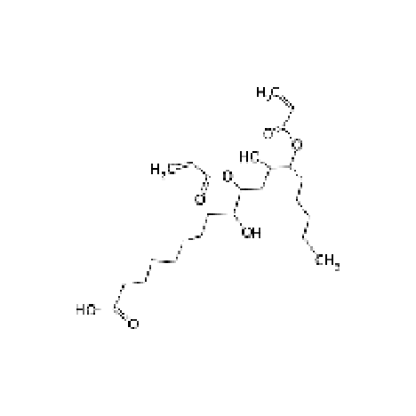 C=CC(=O)OC(CCCCC)C(O)CC(OC(=O)C=C)C(O)CCCCCCCC(=O)O